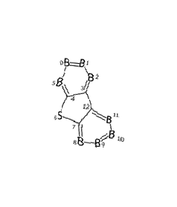 b1bbc2c(b1)sc1bbbbc12